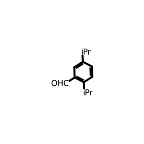 CC(C)c1ccc(C(C)C)c(C=O)c1